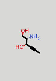 CC#C[C@@H](O)[C@@H](N)CO